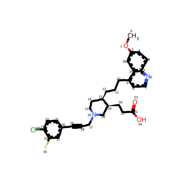 COc1ccc2nccc(CCC[C@@H]3CCN(CC#Cc4ccc(Cl)c(F)c4)C[C@@H]3CCC(=O)O)c2c1